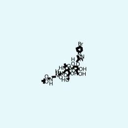 CC(=O)NC1C(O[C@@H]2OC(CO)[C@H](O)C(OCc3cn(-c4ccc(Br)cc4)nn3)C2O)[C@H](O)[C@@H](CO)O[C@H]1NC(=O)NCCNC(=O)OC(C)(C)C